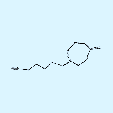 C=C1CCCN(CCCCCNC)CC1